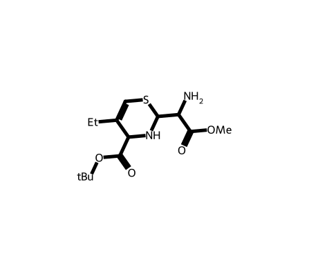 CCC1=CSC(C(N)C(=O)OC)NC1C(=O)OC(C)(C)C